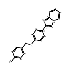 Clc1ccc(COc2ccc(-c3cn4ccccc4n3)cc2)cc1